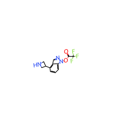 O=C(On1ncc2c(C3CNC3)cccc21)C(F)(F)F